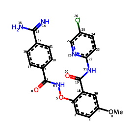 COc1ccc(ONC(=O)c2ccc(C(=N)N)cc2)c(C(=O)Nc2ccc(Cl)cn2)c1